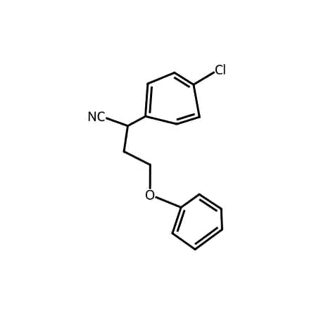 N#CC(CCOc1ccccc1)c1ccc(Cl)cc1